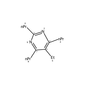 CCCc1nc(CCC)c(CC)c(CCC)n1